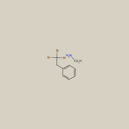 BrC(Br)(Br)Cc1ccccc1.NC(=O)O